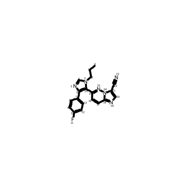 CCCn1cnc(-c2ccc(F)cc2)c1-c1ccc2ncc(C#N)n2n1